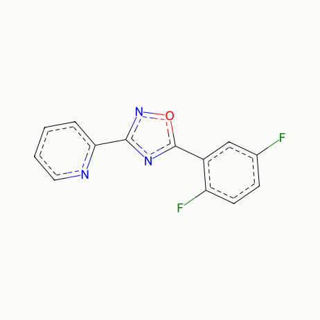 Fc1ccc(F)c(-c2nc(-c3ccccn3)no2)c1